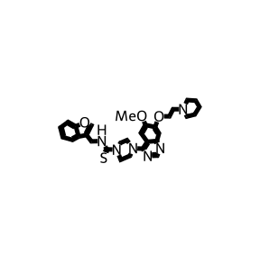 COc1cc2c(N3CCN(C(=S)NCc4coc5ccccc45)CC3)ncnc2cc1OCCN1CCCCC1